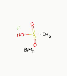 CS(=O)(=O)O.[BiH3].[F]